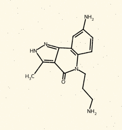 Cc1[nH]nc2c1c(=O)n(CCCN)c1ccc(N)cc21